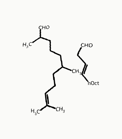 CC(C)=CCCC(C)CCCC(C)C=O.CCCCCCCC/C=C/CC=O